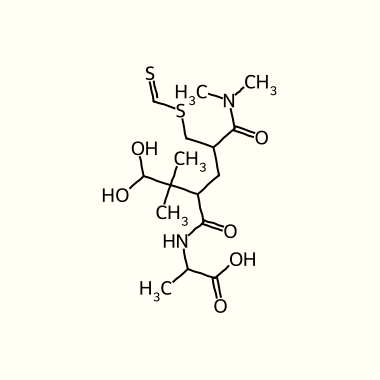 CC(NC(=O)C(CC(CSC=S)C(=O)N(C)C)C(C)(C)C(O)O)C(=O)O